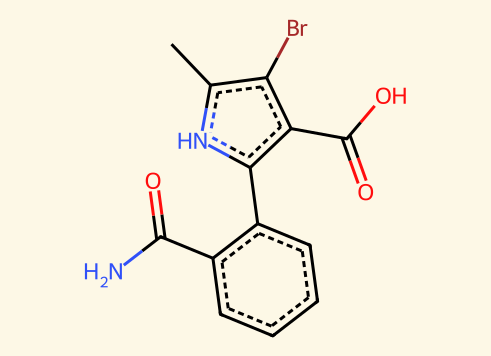 Cc1[nH]c(-c2ccccc2C(N)=O)c(C(=O)O)c1Br